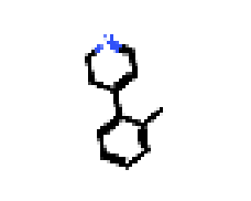 Cc1ccccc1C1=CC=NCC1